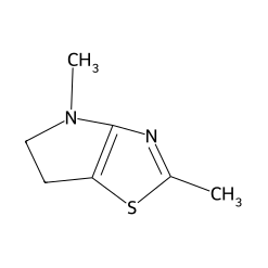 Cc1nc2c(s1)CCN2C